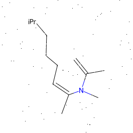 C=C(C)N(C)/C(C)=C\CCCC(C)C